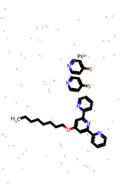 CCCCCCCCOc1cc(-c2ccccn2)nc(-c2ccccn2)c1.[Pt+2].[S-]c1ccncc1.[S-]c1ccncc1